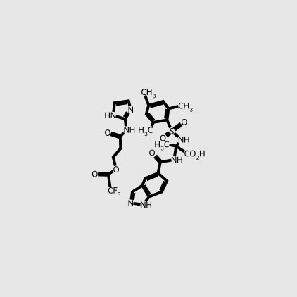 Cc1cc(C)c(S(=O)(=O)NC(C)(NC(=O)c2ccc3[nH]ncc3c2)C(=O)O)c(C)c1.O=C(CCOC(=O)C(F)(F)F)Nc1ncc[nH]1